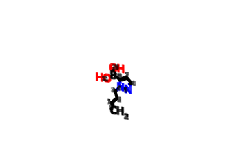 C=CCCn1nccc1B(O)O